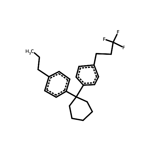 CCCc1ccc(C2(c3ccc(CCC(F)(F)F)cc3)CCCCC2)cc1